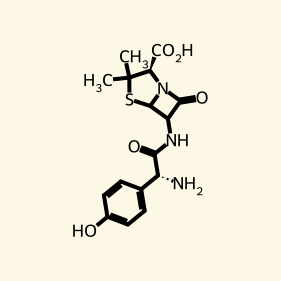 CC1(C)SC2C(NC(=O)[C@H](N)c3ccc(O)cc3)C(=O)N2[C@@H]1C(=O)O